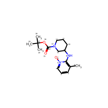 Cc1ccc[n+]([O-])c1NC1CCCN(C(=O)OC(C)(C)C)C1